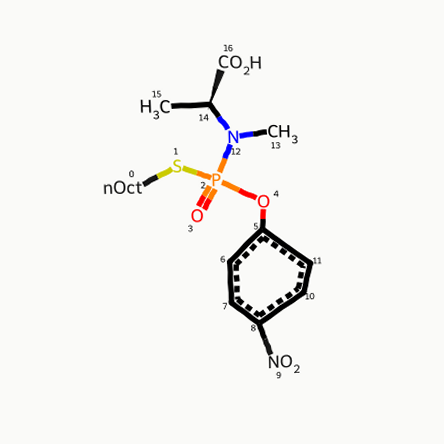 CCCCCCCCSP(=O)(Oc1ccc([N+](=O)[O-])cc1)N(C)[C@@H](C)C(=O)O